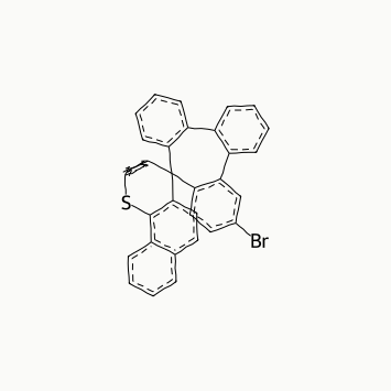 Brc1ccc2c(c1)-c1ccccc1-c1ccccc1C21c2ccccc2Sc2c1ccc1ccccc21